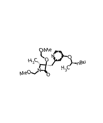 [CH2][C@H]1N(COC)C(=O)[C@]1(Cc1cc(O[C@H](C)CCCC)ccn1)OCOC